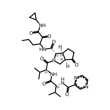 CCCC(NC(=O)[C@@H]1[C@H]2CCC(=O)[C@H]2CN1C(=O)[C@@H](NC(=O)[C@H](NC(=O)c1cnccn1)C(C)C)C(C)C)C(=O)C(=O)NC1CC1